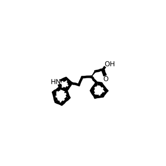 O=C(O)C[C@H](CCc1c[nH]c2ccccc12)c1ccccc1